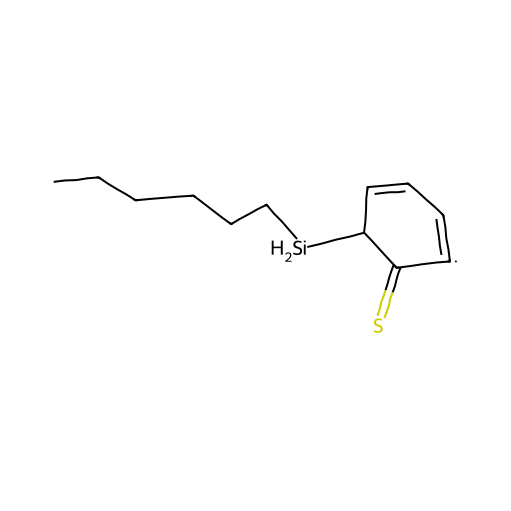 CCCCCC[SiH2]C1C=CC=[C]C1=S